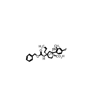 C=CC[C@]1(NC(=O)OCc2ccccc2)CCN(C(=O)O)[C@@](c2ccc(F)cc2C)(C(C)(C)C)C1